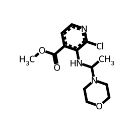 COC(=O)c1ccnc(Cl)c1NC(C)N1CCOCC1